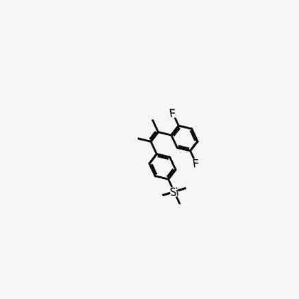 C/C(=C(\C)c1cc(F)ccc1F)c1ccc([Si](C)(C)C)cc1